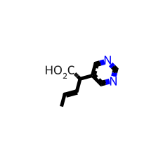 C/C=C/C(C(=O)O)c1cncnc1